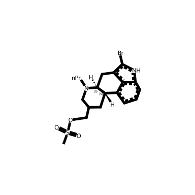 CCCN1CC(COS(C)(=O)=O)C[C@H]2c3cccc4[nH]c(Br)c(c34)C[C@@H]21